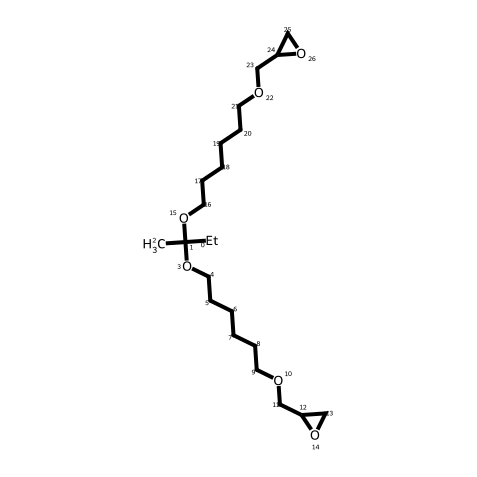 CCC(C)(OCCCCCCOCC1CO1)OCCCCCCOCC1CO1